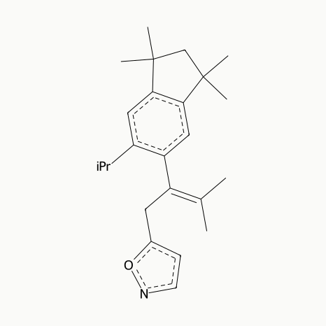 CC(C)=C(Cc1ccno1)c1cc2c(cc1C(C)C)C(C)(C)CC2(C)C